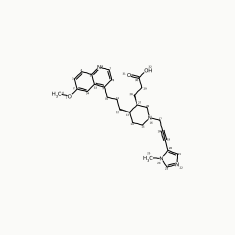 COc1ccc2nccc(CCC[C@@H]3CCN(CC#Cc4cncn4C)C[C@@H]3CCC(=O)O)c2c1